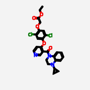 CCOC(=O)COc1cc(Cl)c(Oc2ccncc2C(=O)N2CCN(C3CC3)c3ccccc32)cc1Cl